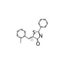 Cc1ccccc1/C=C1\SC(c2ccccc2)=NC1=O